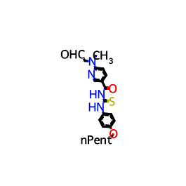 CCCCCOc1ccc(NC(=S)NC(=O)c2ccc(N(C)CC=O)nc2)cc1